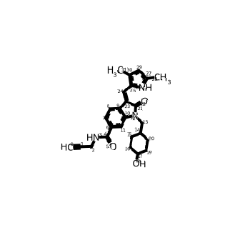 C#CCNC(=O)c1ccc2c(c1)N(CC1CCC(O)CC1)C(=O)/C2=C\c1[nH]c(C)cc1C